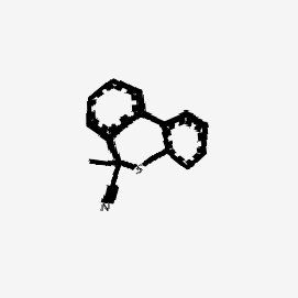 CC1(C#N)Sc2ccccc2-c2ccccc21